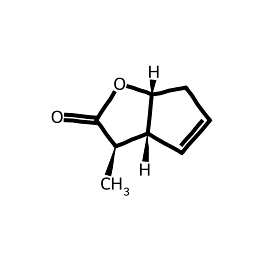 C[C@H]1C(=O)O[C@@H]2CC=C[C@@H]21